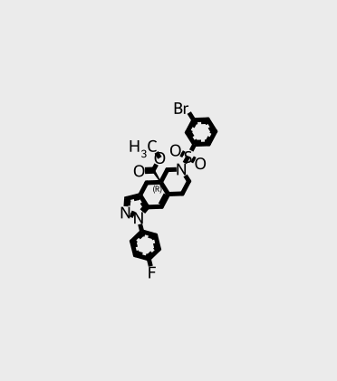 COC(=O)[C@]12Cc3cnn(-c4ccc(F)cc4)c3C=C1CCN(S(=O)(=O)c1cccc(Br)c1)C2